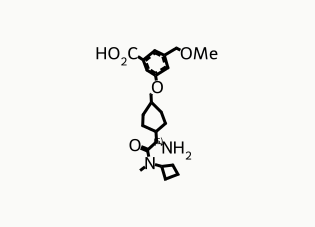 COCc1cc(OCC2CCC([C@H](N)C(=O)N(C)C3CCC3)CC2)cc(C(=O)O)c1